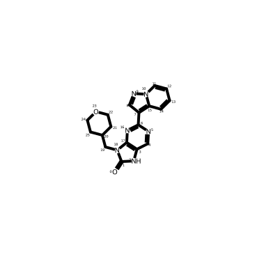 O=c1[nH]c2cnc(-c3cnn4ccccc34)nc2n1CC1CCOCC1